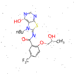 CCCCn1c(=NC(=O)c2cc(C(F)(F)F)ccc2OCC(C)O)sc2ncnc(O)c21